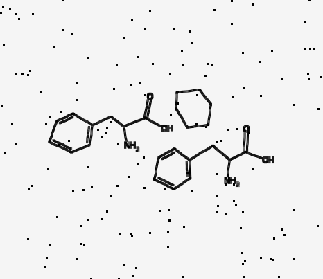 C1CCCCC1.NC(Cc1ccccc1)C(=O)O.NC(Cc1ccccc1)C(=O)O